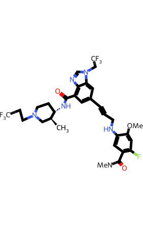 CNC(=O)c1cc(NCC#Cc2cc(C(=O)N[C@H]3CCN(CCC(F)(F)F)C[C@@H]3C)c3ncn(CC(F)(F)F)c3c2)c(OC)cc1F